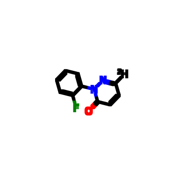 [2H]c1ccc(=O)n(-c2ccccc2F)n1